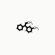 C=CC(C1CCCCC1)C1CCCC(C)C1